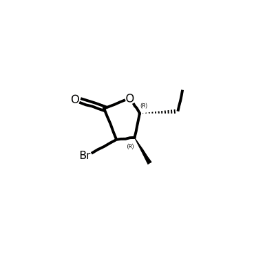 CC[C@H]1OC(=O)C(Br)[C@@H]1C